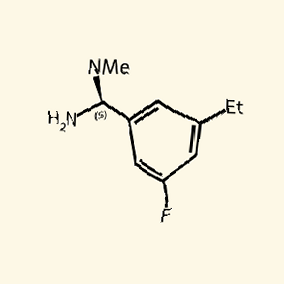 CCc1cc(F)cc([C@@H](N)NC)c1